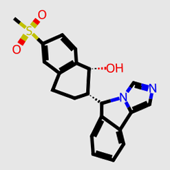 CS(=O)(=O)c1ccc2c(c1)CC[C@@H](C1c3ccccc3-c3cncn31)[C@H]2O